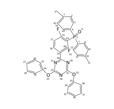 Cc1ccc(P(=O)(c2ccc(C)cc2)c2c(F)ccc(-c3nc(Oc4ccccc4)nc(Oc4ccccc4)n3)c2F)cc1